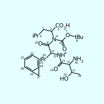 CC(C)CC(C(=O)O)N(C(=O)OC(C)(C)C)C(=O)C(NC(=O)C(N)C(C)O)C(C)C.c1ccc2c(c1)C2